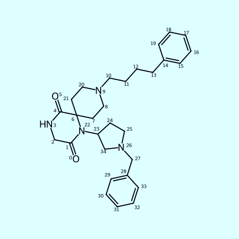 O=C1CNC(=O)C2(CCN(CCCCc3ccccc3)CC2)N1C1CCN(Cc2ccccc2)C1